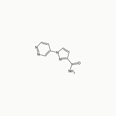 NC(=O)c1ccn(-c2ccnnc2)n1